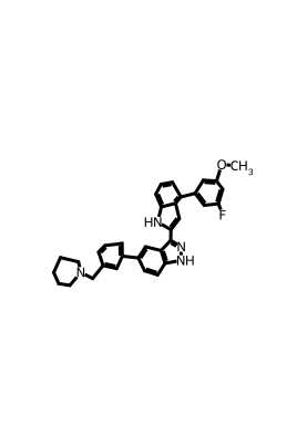 COc1cc(F)cc(-c2cccc3[nH]c(-c4n[nH]c5ccc(-c6cccc(CN7CCCCC7)c6)cc45)cc23)c1